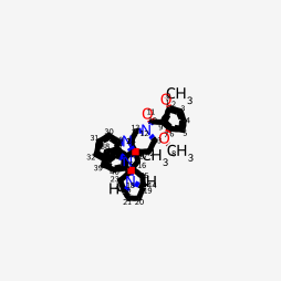 COc1cccc(OC)c1C(=O)N1CCC(CCN2[C@@H]3CC[C@H]2CC(n2c(C)nc4ccccc42)C3)(c2ccccc2)CC1